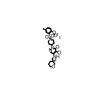 Cc1ccc(OC(F)(F)F)c(S(=O)(=O)N2CCC(n3ncc(NC[C@@]4(F)CCCOC4)c(Cl)c3=O)CC2)c1